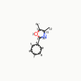 [CH2]c1oc(-c2ccccc2)nc1C